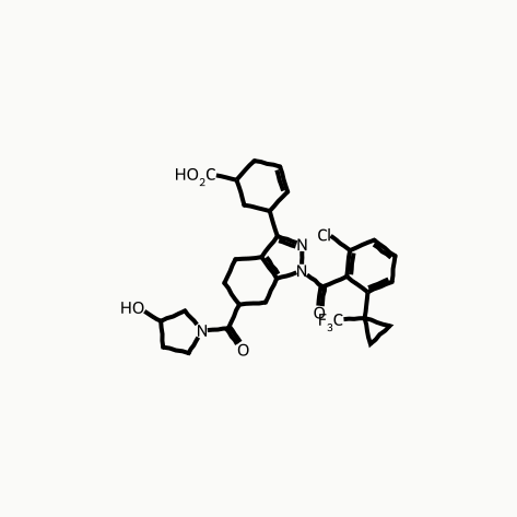 O=C(O)C1CC=CC(c2nn(C(=O)c3c(Cl)cccc3C3(C(F)(F)F)CC3)c3c2CCC(C(=O)N2CCC(O)C2)C3)C1